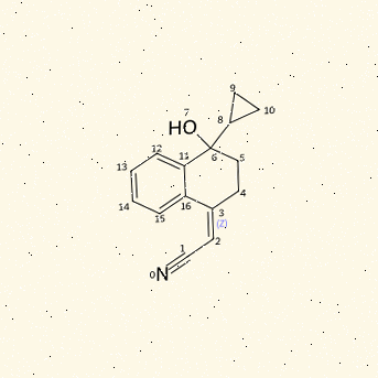 N#C/C=C1/CCC(O)(C2CC2)c2ccccc21